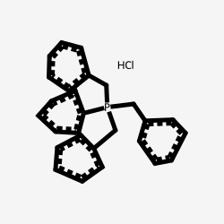 Cl.c1ccc(C[P](Cc2ccccc2)(Cc2ccccc2)c2ccccc2)cc1